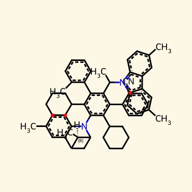 Cc1ccc2c(c1)C1CC([C@@H]1C)N2c1c(C2CCCCC2)c(-c2ccccc2C)c(C(C)n2c3ccc(C)cc3c3cc(C)ccc32)c(-c2ccccc2C#N)c1C1CCCCC1